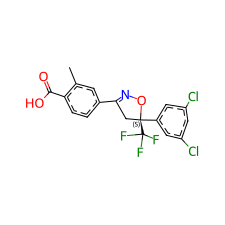 Cc1cc(C2=NO[C@@](c3cc(Cl)cc(Cl)c3)(C(F)(F)F)C2)ccc1C(=O)O